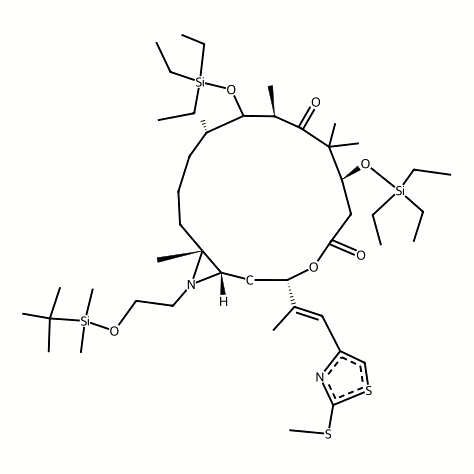 CC[Si](CC)(CC)OC1[C@@H](C)CCC[C@]2(C)[C@H](C[C@@H](/C(C)=C/c3csc(SC)n3)OC(=O)C[C@H](O[Si](CC)(CC)CC)C(C)(C)C(=O)[C@@H]1C)N2CCO[Si](C)(C)C(C)(C)C